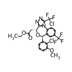 CCOC(=O)C[C@H]1O[C@H](c2cccc(OC)c2Cl)c2cc(C(F)(F)F)ccc2-n2c1nnc2C(F)(F)Cl